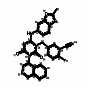 Cc1nc2ccc(Nc3nc(=O)n(-c4cncc5ccccc45)c(=O)n3Cc3ccc(F)c(C#N)c3)cc2o1